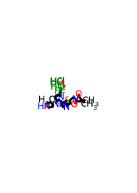 Cc1cc(C(F)(F)F)nc(-c2ccnc3cc(CN4C(=O)C5C(C4=O)C5(C)C)sc23)c1NC1CCNCC1.Cl.Cl.Cl.Cl